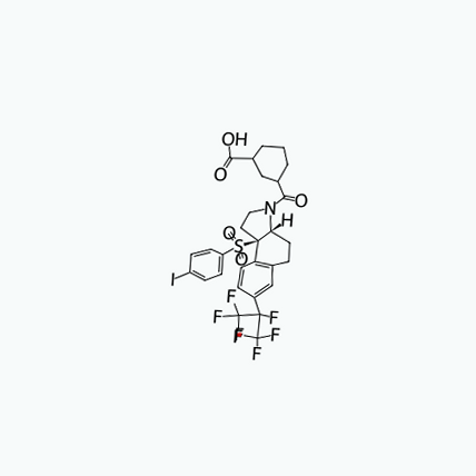 O=C(O)C1CCCC(C(=O)N2CC[C@@]3(S(=O)(=O)c4ccc(I)cc4)c4ccc(C(F)(C(F)(F)F)C(F)(F)F)cc4CC[C@@H]23)C1